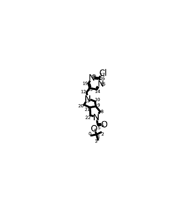 CC(C)(C)OC(=O)N1CC2CN(Cc3cnc(Cl)nc3)CC2C1